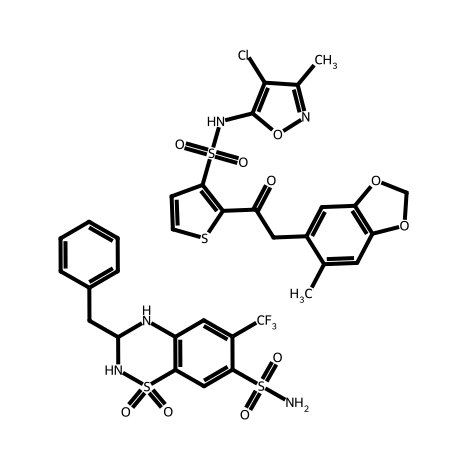 Cc1cc2c(cc1CC(=O)c1sccc1S(=O)(=O)Nc1onc(C)c1Cl)OCO2.NS(=O)(=O)c1cc2c(cc1C(F)(F)F)NC(Cc1ccccc1)NS2(=O)=O